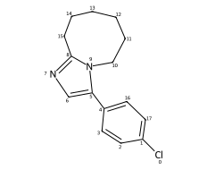 Clc1ccc(-c2cnc3n2CCCCCC3)cc1